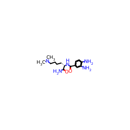 CN(C)CCCC[C@H](NC(=O)c1ccc(N)c(N)c1)C(N)=O